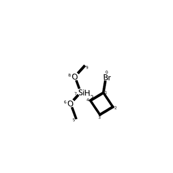 BrC1CCC1.CO[SiH2]OC